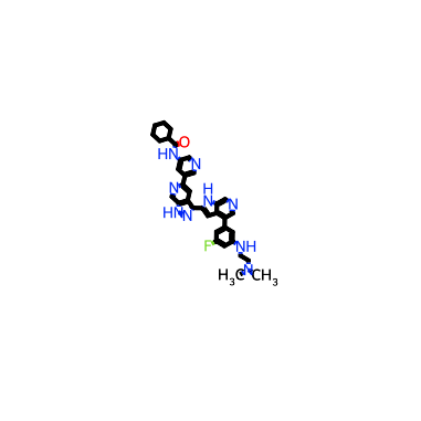 CN(C)CCNc1cc(F)cc(-c2cncc3[nH]c(-c4n[nH]c5cnc(-c6cncc(NC(=O)C7CCCCC7)c6)cc45)cc23)c1